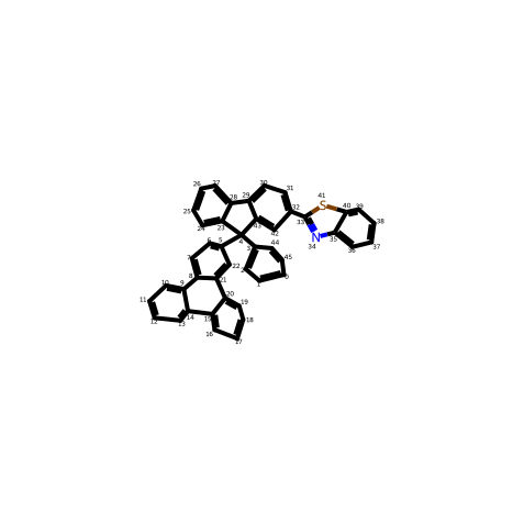 c1ccc(C2(c3ccc4c5ccccc5c5ccccc5c4c3)c3ccccc3-c3ccc(-c4nc5ccccc5s4)cc32)cc1